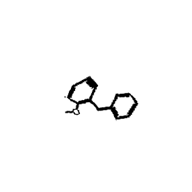 COc1[c]cccc1Cc1ccccc1